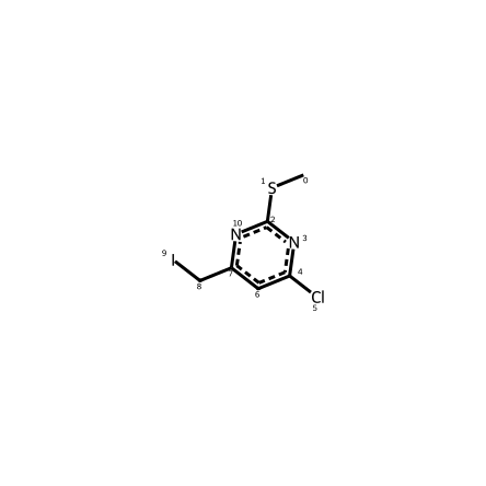 CSc1nc(Cl)cc(CI)n1